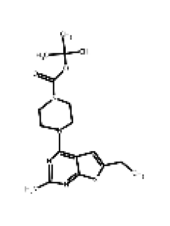 CCc1cc2c(N3CCN(C(=O)OC(C)(C)C)CC3)nc(N)nc2s1